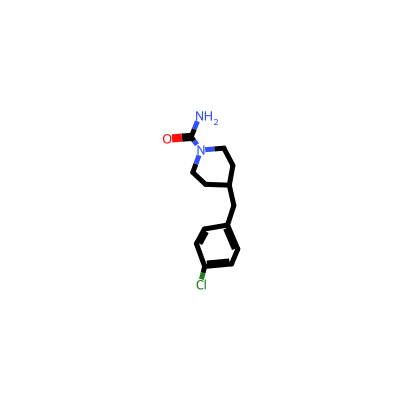 NC(=O)N1CCC(Cc2ccc(Cl)cc2)CC1